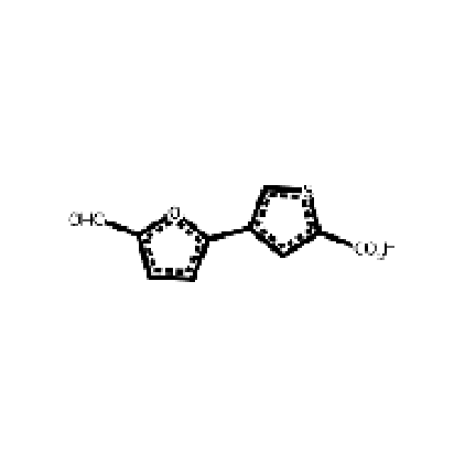 O=Cc1ccc(-c2csc(C(=O)O)c2)o1